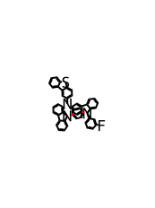 Fc1cccc(-n2c3ccccc3c3cc(N(c4ccc5sc6ccccc6c5c4)c4cccc5c6ccccc6n(-c6ccccc6)c45)ccc32)c1